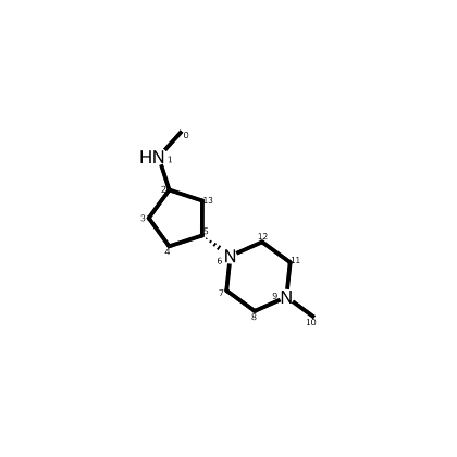 CNC1CC[C@@H](N2CCN(C)CC2)C1